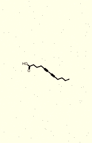 CCCCC#CC#CCCCC(=O)O